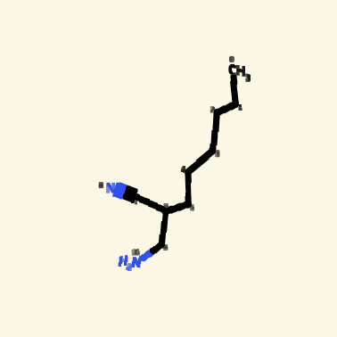 CCCCCCC(C#N)CN